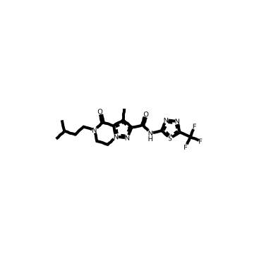 Cc1c(C(=O)Nc2nnc(C(F)(F)F)s2)nn2c1C(=O)N(CCC(C)C)CC2